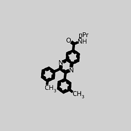 CCCNC(=O)c1ccc2nc(-c3cccc(C)c3)c(-c3cccc(C)c3)nc2c1